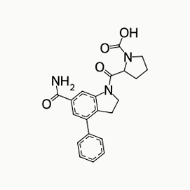 NC(=O)c1cc(-c2ccccc2)c2c(c1)N(C(=O)C1CCCN1C(=O)O)CC2